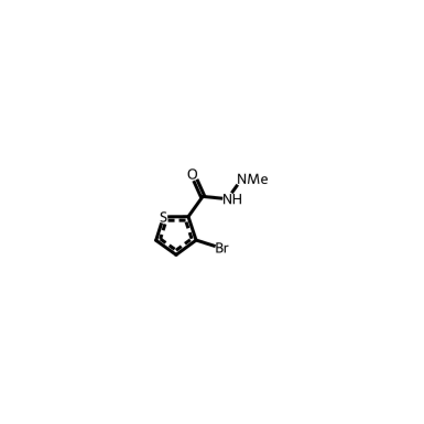 CNNC(=O)c1sccc1Br